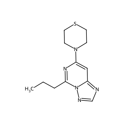 CCCc1nc(N2CCSCC2)cc2ncnn12